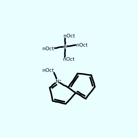 CCCCCCCC[B-](CCCCCCCC)(CCCCCCCC)CCCCCCCC.CCCCCCCC[n+]1cccc2ccccc21